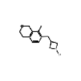 CCN1CC(Cc2ccc3c(c2C)CBCC3)C1